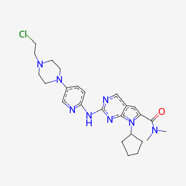 CN(C)C(=O)c1cc2cnc(Nc3ccc(N4CCN(CCCl)CC4)cn3)nc2n1C1CCCC1